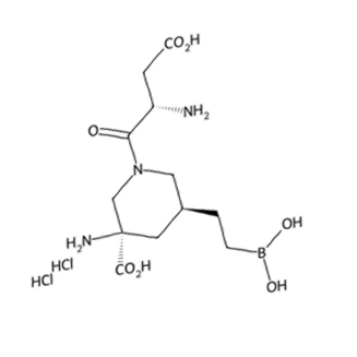 Cl.Cl.N[C@@H](CC(=O)O)C(=O)N1C[C@@H](CCB(O)O)C[C@](N)(C(=O)O)C1